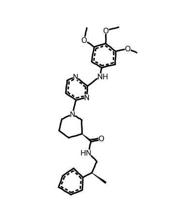 COc1cc(Nc2nccc(N3CCC[C@H](C(=O)NC[C@@H](C)c4ccccc4)C3)n2)cc(OC)c1OC